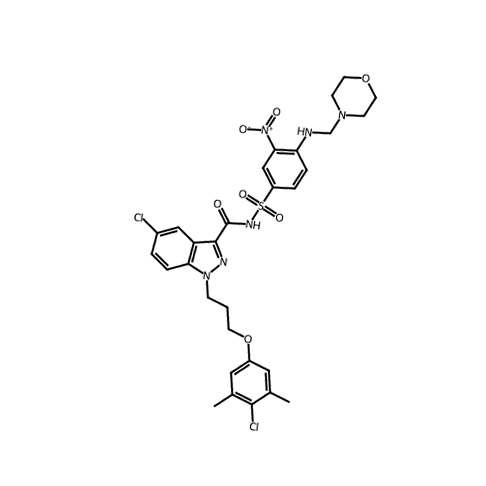 Cc1cc(OCCCn2nc(C(=O)NS(=O)(=O)c3ccc(NCN4CCOCC4)c([N+](=O)[O-])c3)c3cc(Cl)ccc32)cc(C)c1Cl